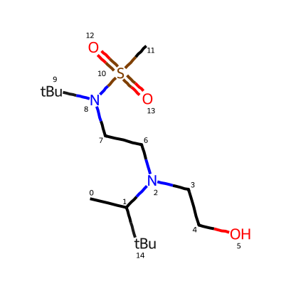 CC(N(CCO)CCN(C(C)(C)C)S(C)(=O)=O)C(C)(C)C